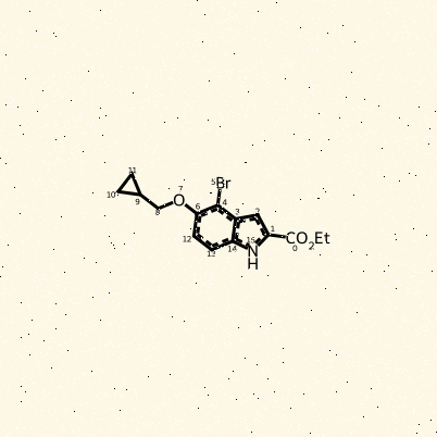 CCOC(=O)c1cc2c(Br)c(OCC3CC3)ccc2[nH]1